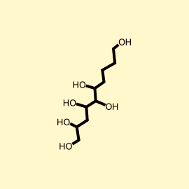 OCCCCC(O)C(O)C(O)CC(O)CO